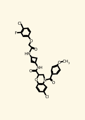 COc1ccc(C(=O)N2CC(C(=O)NC34CC(NC(=O)COc5ccc(Cl)c(F)c5)(C3)C4)Oc3ccc(Cl)cc32)cc1